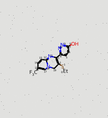 CCSC1=C(c2ccc(O)nn2)N=C2C=CC(C(F)(F)F)=CN2C1